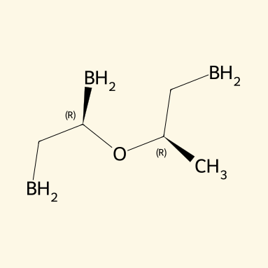 BC[C@@H](B)O[C@H](C)CB